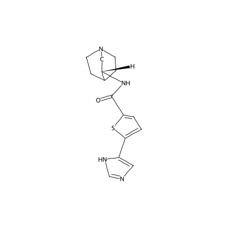 O=C(N[C@H]1CN2CCC1CC2)c1ccc(-c2cnc[nH]2)s1